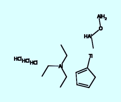 C[CH2][Al]([CH2]C)[CH2]C.Cl.Cl.Cl.[CH3][AlH][O][AlH2].[Ti][C]1=CC=CC1